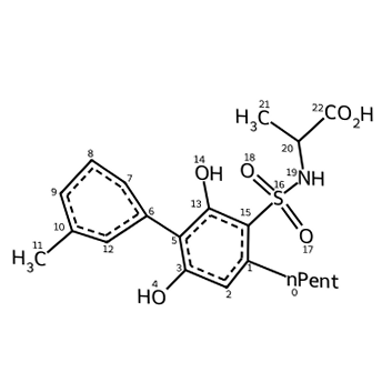 CCCCCc1cc(O)c(-c2cccc(C)c2)c(O)c1S(=O)(=O)NC(C)C(=O)O